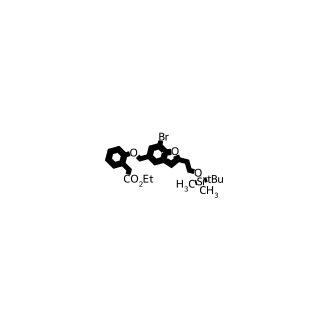 CCOC(=O)Cc1ccccc1OCc1cc(Br)c2oc(CCO[Si](C)(C)C(C)(C)C)cc2c1